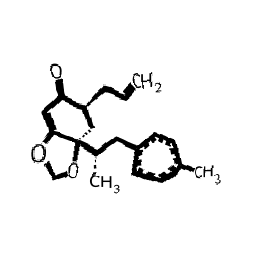 C=CC[C@H]1C[C@]2([C@@H](C)Cc3ccc(C)cc3)OCOC2=CC1=O